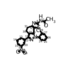 CC(=O)Nc1nc2c(s1)-c1c(c(-c3cccc([N+](=O)[O-])c3)nn1-c1ccccc1Cl)CC2